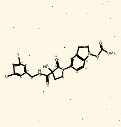 COC(=O)ON1CCc2cc(N3CCC(O)(C(=O)NCc4cc(F)cc(Cl)c4)C3=O)ccc21